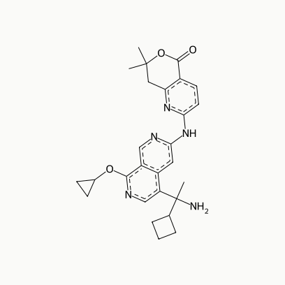 CC1(C)Cc2nc(Nc3cc4c(C(C)(N)C5CCC5)cnc(OC5CC5)c4cn3)ccc2C(=O)O1